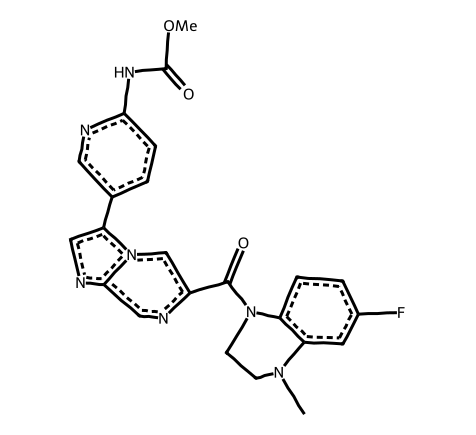 COC(=O)Nc1ccc(-c2cnc3cnc(C(=O)N4CCN(C)c5cc(F)ccc54)cn23)cn1